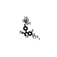 COc1cc2ncc(C#N)c(-c3ccc(CN[SH](=O)=O)cc3)c2cc1F